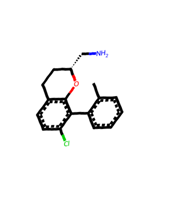 Cc1ccccc1-c1c(Cl)ccc2c1O[C@@H](CN)CC2